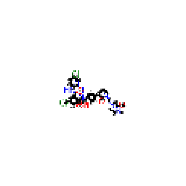 CN1CCN(CCn2cccc(-c3ccc(C(=O)Nc4c(O)cc(Cl)cc4C(=O)Nc4ccc(Cl)cn4)cc3)c2=O)CC1=O